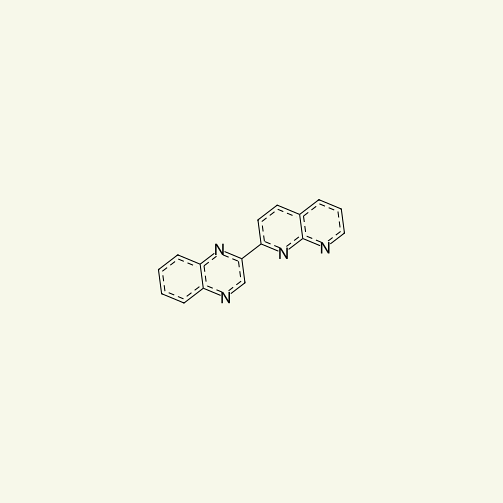 c1cnc2nc(-c3cnc4ccccc4n3)ccc2c1